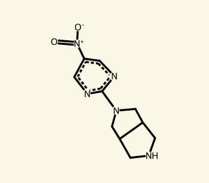 O=[N+]([O-])c1cnc(N2CC3CNCC3C2)nc1